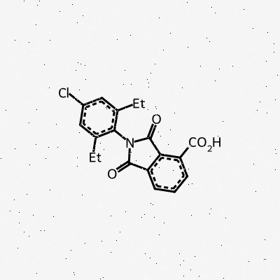 CCc1cc(Cl)cc(CC)c1N1C(=O)c2cccc(C(=O)O)c2C1=O